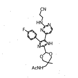 CC(=O)NCC1(C)COC(c2nc(-c3ccc(F)cc3)c(-c3ccnc(NCCC#N)n3)[nH]2)OC1